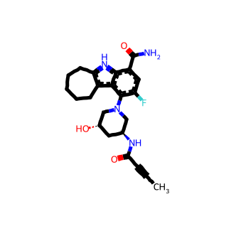 CC#CC(=O)N[C@H]1C[C@H](O)CN(c2c(F)cc(C(N)=O)c3[nH]c4c(c23)CCCCC4)C1